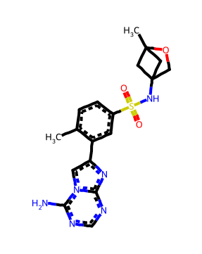 Cc1ccc(S(=O)(=O)NC23COC(C)(C2)C3)cc1-c1cn2c(N)ncnc2n1